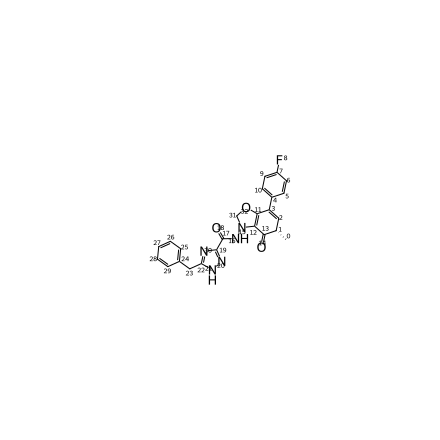 C[C@H]1C=C(c2ccc(F)cc2)C2=C(C1=O)N(NC(=O)c1n[nH]c(Cc3ccccc3)n1)CO2